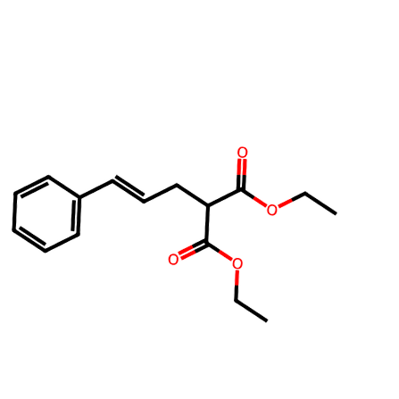 CCOC(=O)C(CC=Cc1ccccc1)C(=O)OCC